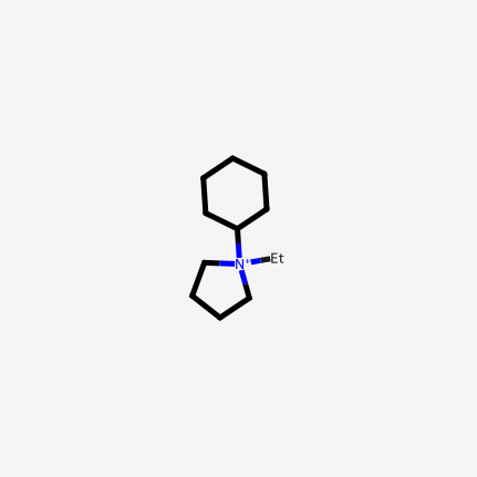 CC[N+]1(C2CCCCC2)CCCC1